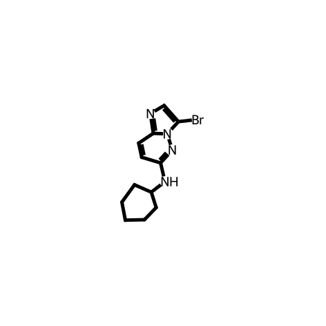 Brc1cnc2ccc(NC3CCCCC3)nn12